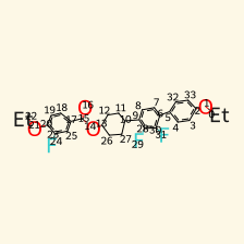 CCOc1ccc(-c2ccc(C3CCC(OC(=O)c4ccc(OCC)c(F)c4)CC3)c(F)c2F)cc1